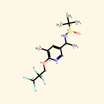 Cc1cc(C(C)N[S@+]([O-])C(C)(C)C)cnc1OCC(F)(F)C(F)F